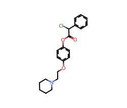 O=C(Oc1ccc(OCCN2CCCCC2)cc1)C(Cl)c1ccccc1